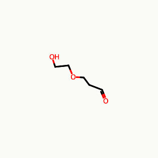 O=CCCOCCO